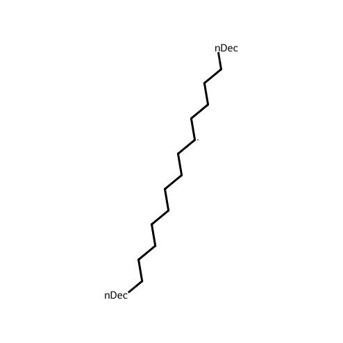 CCCCCCCCCCCCCC[CH]CCCCCCCCCCCCCCCCCC